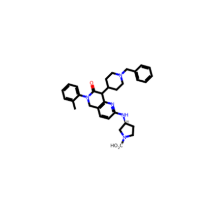 Cc1ccccc1N1Cc2ccc(N[C@H]3CCN(C(=O)O)C3)nc2C(C2CCN(Cc3ccccc3)CC2)C1=O